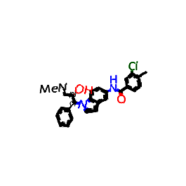 CNC[C@@H](O)[C@H](c1ccccc1)n1ccc2cc(NC(=O)c3ccc(C)c(Cl)c3)ccc21